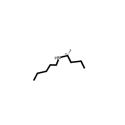 CCCCCN[C@H](C)CCC